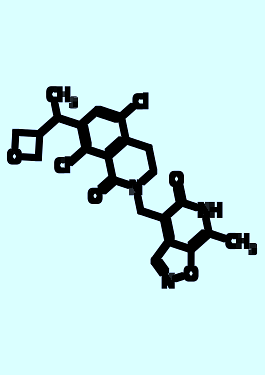 Cc1[nH]c(=O)c(CN2CCc3c(Cl)cc(C(C)C4COC4)c(Cl)c3C2=O)c2cnoc12